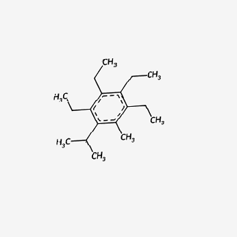 CCc1c(C)c([C](C)C)c(CC)c(CC)c1CC